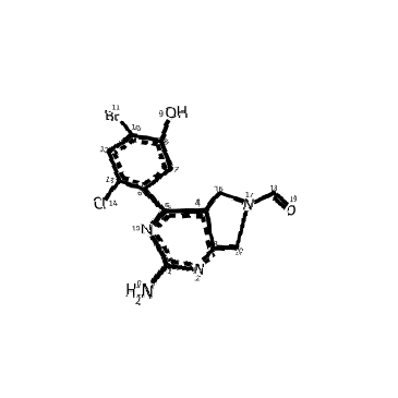 Nc1nc2c(c(-c3cc(O)c(Br)cc3Cl)n1)CN(C=O)C2